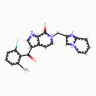 Cc1cccc(F)c1C(=O)c1c[nH]c2c(=O)n(Cc3cn4ccccc4n3)ccc12